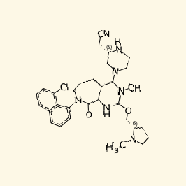 CN1CCC[C@H]1COC1NC2C(=O)N(c3cccc4cccc(Cl)c34)CCCC2C(N2CCN[C@@H](CC#N)C2)N1O